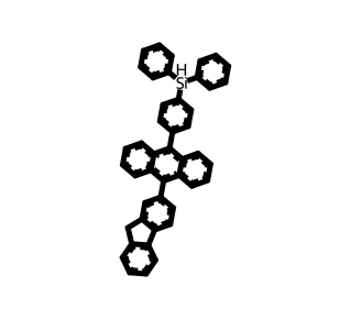 c1ccc([SiH](c2ccccc2)c2ccc(-c3c4ccccc4c(-c4ccc5c(c4)Cc4ccccc4-5)c4ccccc34)cc2)cc1